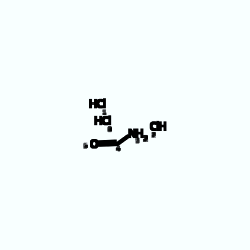 Cl.Cl.Cl.NC=O